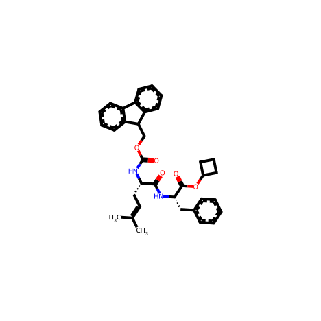 CC(C)=CC[C@H](NC(=O)OCC1c2ccccc2-c2ccccc21)C(=O)N[C@@H](Cc1ccccc1)C(=O)OC1CCC1